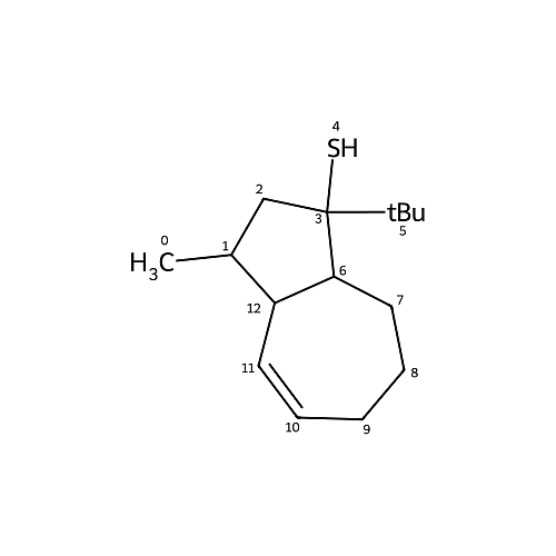 CC1CC(S)(C(C)(C)C)C2CCCC=CC12